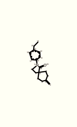 C=C1CCC2(CC1)CCN(c1ccc(CC)cc1)C2=O